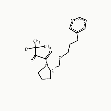 CCC(C)(C)C(=O)C(=O)N1CCC[C@H]1COCCCc1cccnc1